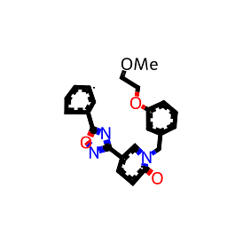 COCCOc1cccc(Cn2cc(-c3noc(-c4c[c]ccc4)n3)ccc2=O)c1